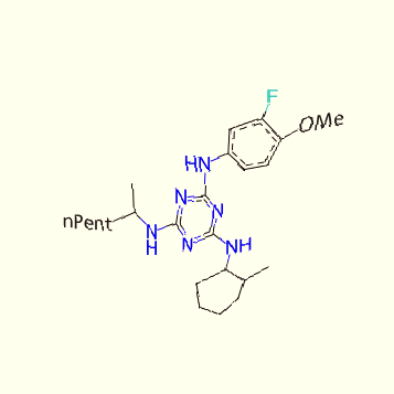 CCCCCC(C)Nc1nc(Nc2ccc(OC)c(F)c2)nc(NC2CCCCC2C)n1